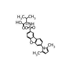 Cc1ccc(C)n1-c1ccc2c(c1)oc1ccc(S(=O)(=O)N[C@@H](C(=O)O)C(C)C)cc12